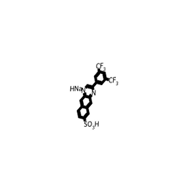 O=S(=O)(O)c1ccc2cc3ncc(-c4cc(C(F)(F)F)cc(C(F)(F)F)c4)nc3cc2c1.[NaH]